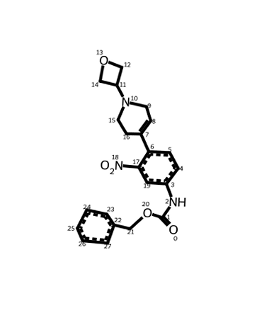 O=C(Nc1ccc(C2=CCN(C3COC3)CC2)c([N+](=O)[O-])c1)OCc1ccccc1